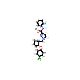 O=C(Nc1c(F)cccc1F)c1ccn(Cc2ccccc2Oc2ccc(Cl)cc2)n1